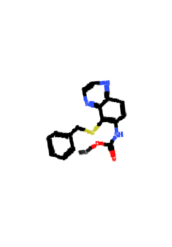 CC(C)(C)OC(=O)Nc1ccc2nccnc2c1SCc1ccccc1